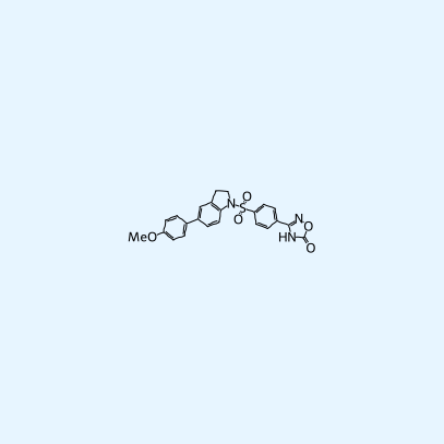 COc1ccc(-c2ccc3c(c2)CCN3S(=O)(=O)c2ccc(-c3noc(=O)[nH]3)cc2)cc1